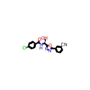 N#Cc1cccc(-c2nnc([C@H](CO)NC(=O)c3ccc(Cl)cc3)o2)c1